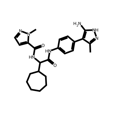 Cc1n[nH]c(N)c1-c1ccc(NC(=O)C(NC(=O)c2ccnn2C)C2CCCCCC2)cc1